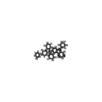 c1ccc(-c2ccc([Si](c3ccccc3)(c3ccccc3)c3ccc4c(c3)c3ncncc3n4-c3ccccc3)cc2)cc1